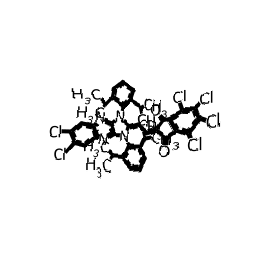 CC(C)c1cccc(C(C)C)c1N1C(=CC=C2C(=O)c3c(Cl)c(Cl)c(Cl)c(Cl)c3C2=O)N(c2c(C(C)C)cccc2C(C)C)c2nc3cc(Cl)c(Cl)cc3nc21